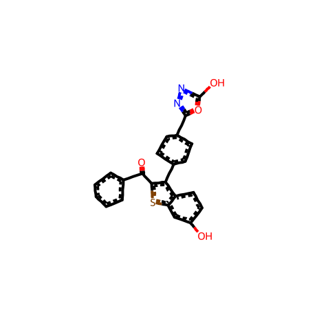 O=C(c1ccccc1)c1sc2cc(O)ccc2c1-c1ccc(-c2nnc(O)o2)cc1